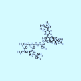 CC(N)COC(C)COCC(COCC(C)OCC(C)NC(c1ccc(C(=O)C(C)(C)O)cc1)c1ccc(C(=O)C(C)(C)O)cc1)OCC(C)OCC(C)N